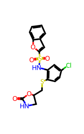 O=C1NCC(CSc2ccc(Cl)cc2NS(=O)(=O)c2cc3ccccc3o2)O1